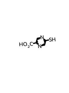 O=C(O)c1cnc(S)cn1